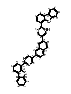 C1=NC(c2cccc3c2oc2ccccc23)NC=C1c1ccc2ccc(-c3cnc(-c4cccc5c4sc4ccccc45)nc3)cc2c1